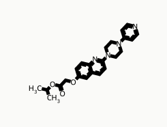 CC(C)OC(=O)COc1ccc2nc(N3CCN(c4ccncc4)CC3)ccc2c1